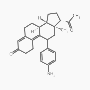 CC(=O)[C@H]1CC[C@H]2[C@@H]3CCC4=CC(=O)CCC4=C3C(c3ccc(N)cc3)C[C@]12C